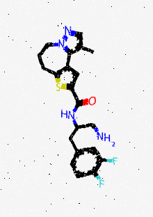 Cc1cnn2c1-c1cc(C(=O)NC(CN)Cc3ccc(F)c(F)c3)sc1CCC2